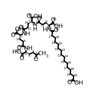 CC(=O)CC[C@H](NC(=O)CC[C@H](NC(=O)CC[C@H](NC(=O)CC[C@H](NC(=O)CCCCCCCCCCCCCCC(=O)O)C(=O)O)C(=O)O)C(=O)O)C(=O)O